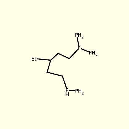 CCC(CCPP)CCP(P)P